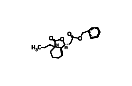 CCC[C@]12CCCC=C1[C@@H](CC(=O)OCc1ccccc1)OC2=O